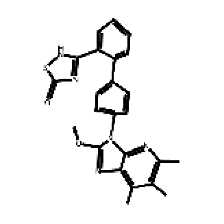 COc1nc2c(C)c(C)c(C)nc2n1-c1ccc(-c2ccccc2-c2nc(=O)s[nH]2)cc1